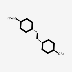 CCCCC[C@H]1CC[C@H](CC[C@H]2CC[C@H](OC(C)=O)CC2)CC1